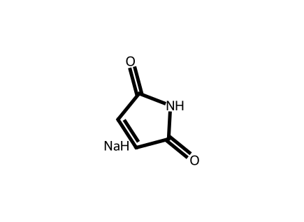 O=C1C=CC(=O)N1.[NaH]